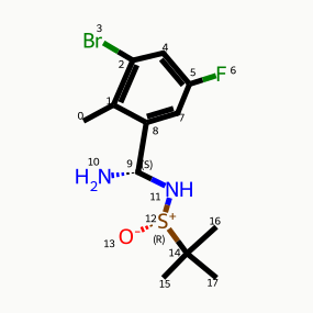 Cc1c(Br)cc(F)cc1[C@@H](N)N[S@@+]([O-])C(C)(C)C